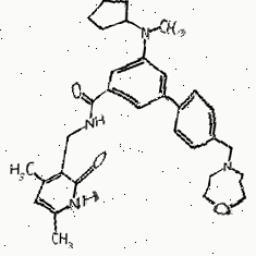 Cc1cc(C)c(CNC(=O)c2cc(-c3ccc(CN4CCOCC4)cc3)cc(N(C)C3CCCC3)c2)c(=O)[nH]1